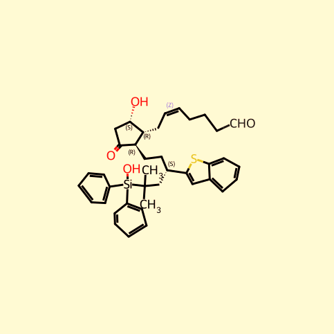 CC(C)(C[C@H](CC[C@H]1C(=O)C[C@H](O)[C@@H]1C/C=C\CCCC=O)c1cc2ccccc2s1)[Si](O)(c1ccccc1)c1ccccc1